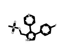 CS(=O)(=O)OCc1[nH]cc(-c2ccc(F)cc2)c1-c1ccncc1